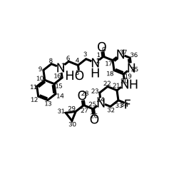 O=C(NCC(O)CN1CCc2ccccc2C1)c1cc(NC2CCN(C(=O)C(=O)C3CC3)CC2F)ncn1